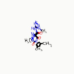 Cc1cc(C)cc(-n2c(=O)c(C(=O)Nc3nnnn3C)nn(C)c2=O)c1